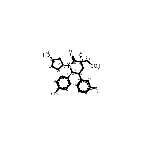 C[C@]1(CC(=O)O)CC(c2cccc(Cl)c2)[C@@H](c2ccc(Cl)cc2)N([C@H]2CC[C@@H](O)C2)C1=O